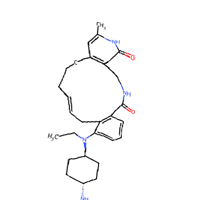 CCN(c1cccc2c1C/C=C/CCCc1cc(C)[nH]c(=O)c1CNC2=O)[C@H]1CC[C@H](N)CC1